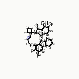 Cc1cccnc1[C@H]1c2ccc(F)c(F)c2OC/C=C/C2(CCC2)N2CN1n1ccc(=O)c(O)c1C2=O